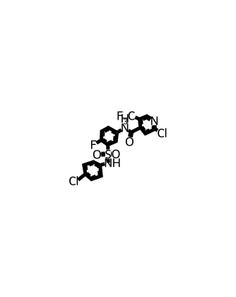 O=C(Nc1ccc(F)c(S(=O)(=O)Nc2ccc(Cl)cc2)c1)c1cc(Cl)ncc1C(F)(F)F